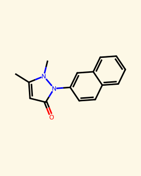 Cc1cc(=O)n(-c2ccc3ccccc3c2)n1C